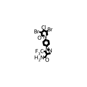 NC(=O)c1cnn(-c2ccc(-n3cc(Br)c(Cl)c(Br)c3=O)cc2)c1C(F)(F)F